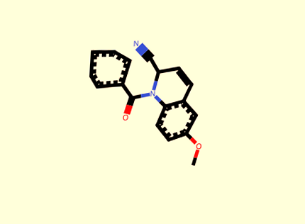 COc1ccc2c(c1)C=CC(C#N)N2C(=O)c1ccccc1